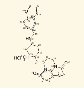 Cl.Cl.O=C1CNc2ccc(=O)n3c2N1CC[C@H]3CN1CCC(NCc2cc3c(cn2)OCCS3)CC1